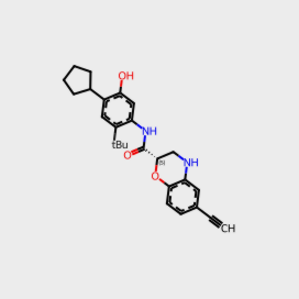 C#Cc1ccc2c(c1)NC[C@@H](C(=O)Nc1cc(O)c(C3CCCC3)cc1C(C)(C)C)O2